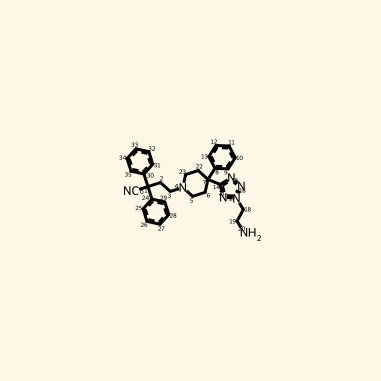 N#CC(CCN1CCC(c2ccccc2)(c2nnn(CCN)n2)CC1)(c1ccccc1)c1ccccc1